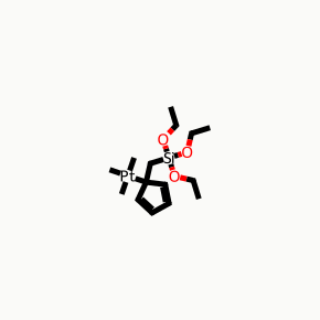 CCO[Si](C[C]1([Pt]([CH3])([CH3])[CH3])C=CC=C1)(OCC)OCC